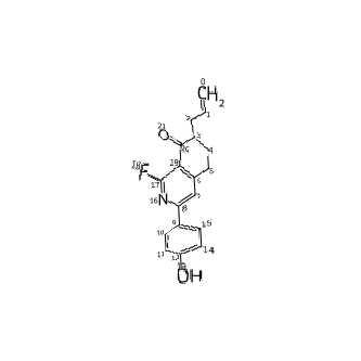 C=CCC1CCc2cc(-c3ccc(O)cc3)nc(F)c2C1=O